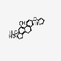 CC1=C2C(=C3CC[C@H](O)[C@@]3(C)C1)CCc1cc(OC3CCCN3)ccc12